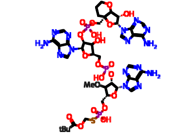 COC1[C@@H](COP(=O)(O)SCOC(=O)C(C)(C)C)O[C@@H](n2cnc3c(N)ncnc32)[C@H]1OP(=O)(O)OC[C@H]1O[C@@H](n2cnc3c(N)ncnc32)[C@@H](OP(=O)(O)OC[C@]23CCCOC2[C@H](O)[C@H](n2cnc4c(N)ncnc42)O3)C1O